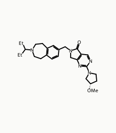 CCC(CC)N1CCc2ccc(CN3Cc4nc(N5CC[C@H](OC)C5)ncc4C3=O)cc2CC1